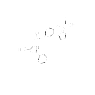 Cc1oc(-c2ccccc2)nc1CN(C)Cc1ccc(C[C@@H](C(=O)O)n2cccc2)cc1